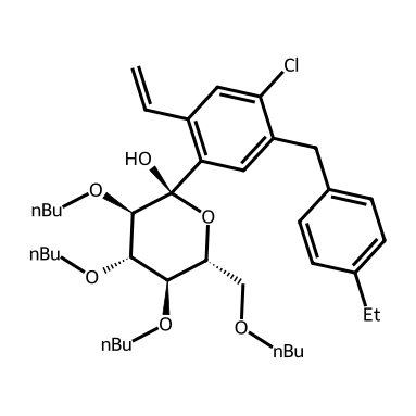 C=Cc1cc(Cl)c(Cc2ccc(CC)cc2)cc1[C@]1(O)O[C@H](COCCCC)[C@@H](OCCCC)[C@H](OCCCC)[C@H]1OCCCC